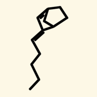 CCCC/C=C1/C=C2CCC1C2